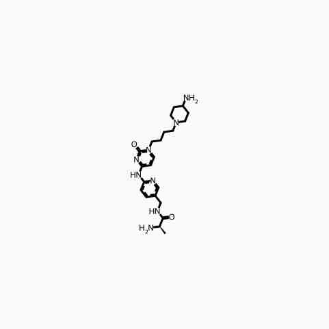 C[C@@H](N)C(=O)NCc1ccc(Nc2ccn(CCCCN3CCC(N)CC3)c(=O)n2)nc1